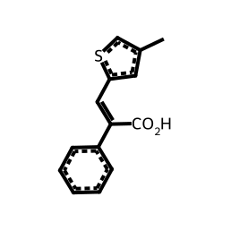 Cc1csc(C=C(C(=O)O)c2ccccc2)c1